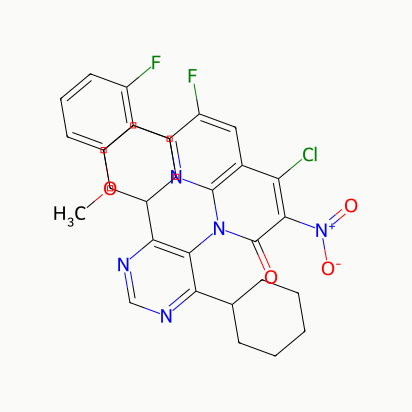 COc1cccc(F)c1-c1nc2c(cc1F)c(Cl)c([N+](=O)[O-])c(=O)n2-c1c(C2CCCCC2)ncnc1C1CCCCC1